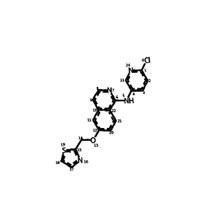 Clc1ccc(Nc2nccc3cc(OCc4nccs4)ccc23)cn1